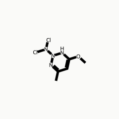 COC1=CC(C)=NN(N(Cl)Cl)N1